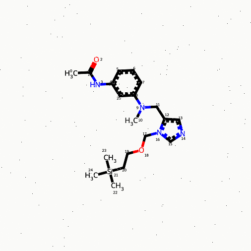 CC(=O)Nc1cccc(N(C)Cc2cncn2COCC[Si](C)(C)C)c1